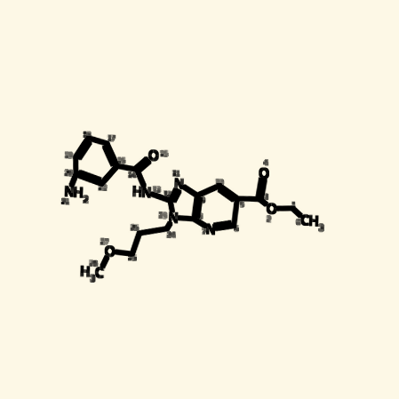 CCOC(=O)c1cnc2c(c1)nc(NC(=O)c1cccc(N)c1)n2CCCOC